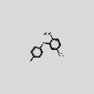 COc1ccc(C(F)(F)F)cc1Sc1ccc(C)cc1